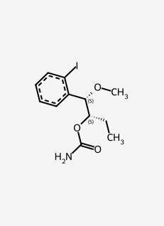 CC[C@H](OC(N)=O)[C@@H](OC)c1ccccc1I